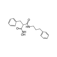 O=C(NO)C(Cc1ccccc1)C(=O)NCCCc1ccccc1